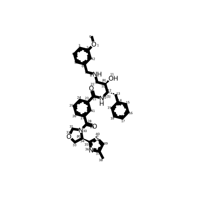 COc1cccc(CNC[C@@H](O)[C@H](Cc2ccccc2)NC(=O)c2cccc(C(=O)N3COC[C@@H]3c3nc(C)cs3)c2)c1